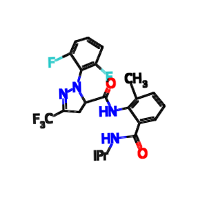 Cc1cccc(C(=O)NC(C)C)c1NC(=O)C1CC(C(F)(F)F)=NN1c1c(F)cccc1F